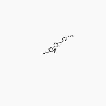 C=CCCc1ccc(CCc2ccc(-c3ccc(CCC=C)cc3F)cc2)cc1